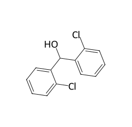 OC(c1ccccc1Cl)c1ccccc1Cl